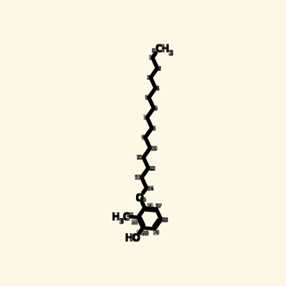 CCCCCCCCCCCCCCCOc1cccc(O)c1C